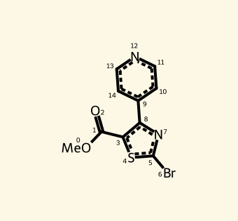 COC(=O)c1sc(Br)nc1-c1ccncc1